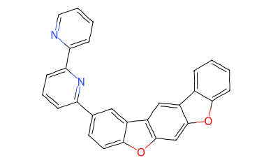 c1ccc(-c2cccc(-c3ccc4oc5cc6oc7ccccc7c6cc5c4c3)n2)nc1